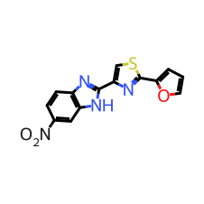 O=[N+]([O-])c1ccc2nc(-c3csc(-c4ccco4)n3)[nH]c2c1